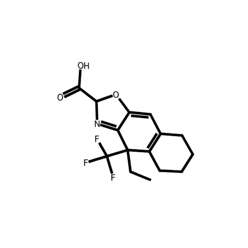 CCC1(C(F)(F)F)C2=NC(C(=O)O)OC2=CC2=C1CCCC2